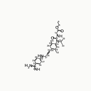 CCOC(=O)CNC(=O)N(c1cc(C)c(C#CCNc2ccc(C(=N)N)cc2)cc1C)C(C)C